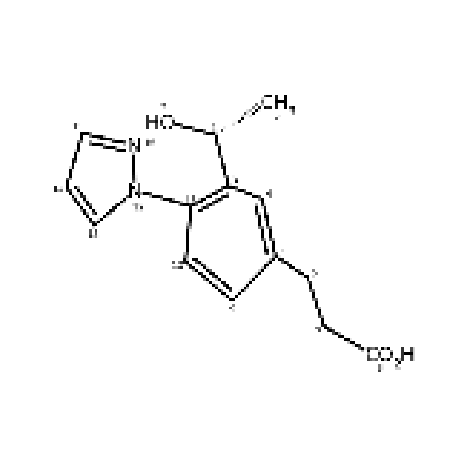 C[C@@H](O)c1cc(CCC(=O)O)ccc1-n1cccn1